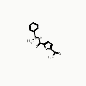 C[C@@H](NC(=O)c1ccc(C(=O)C(F)(F)F)s1)c1ccccc1